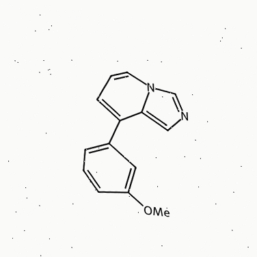 COc1cccc(-c2cccn3cncc23)c1